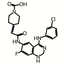 O=C(C=C1CCN(C(=O)O)CC1)Nc1cc2c(cc1F)NCN=C2Nc1cccc(Cl)c1